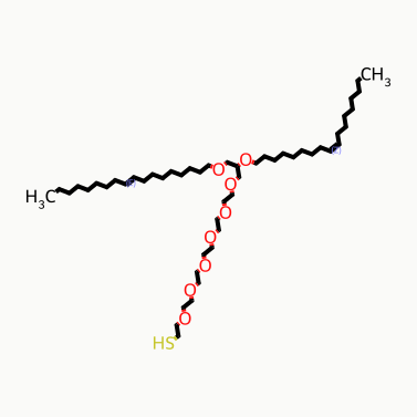 CCCCCCCC/C=C\CCCCCCCCOC(COCCCCCCCC/C=C/CCCCCCCC)COCCOCCOCCOCCOCCOCCS